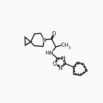 CC(Nc1nc(-c2ccccc2)no1)C(=O)N1CCC2(CC1)CC2